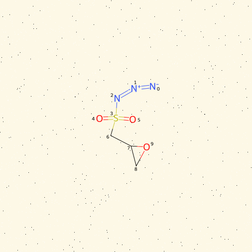 [N-]=[N+]=NS(=O)(=O)CC1CO1